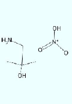 CC(C)(O)CN.O=[N+]([O-])O